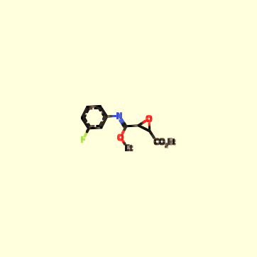 CCOC(=O)C1OC1C(=Nc1cccc(F)c1)OCC